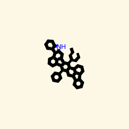 C=C/C=C(\C=C/C)c1c2c(cc3c4ccccc4c4cccc2c43)c(-c2ccccc2)c2c3cccc4c5c(cc(c12)c34)[nH]c1ccccc15